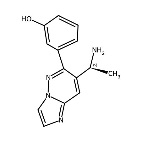 C[C@H](N)c1cc2nccn2nc1-c1cccc(O)c1